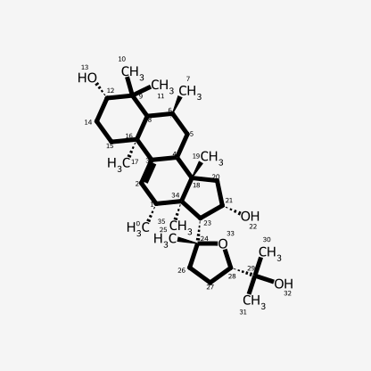 C[C@@H]1C=C2C(C[C@H](C)C3C(C)(C)[C@@H](O)CC[C@]23C)[C@]2(C)C[C@H](O)[C@H]([C@@]3(C)CC[C@@H](C(C)(C)O)O3)[C@@]12C